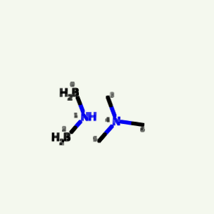 BNB.CN(C)C